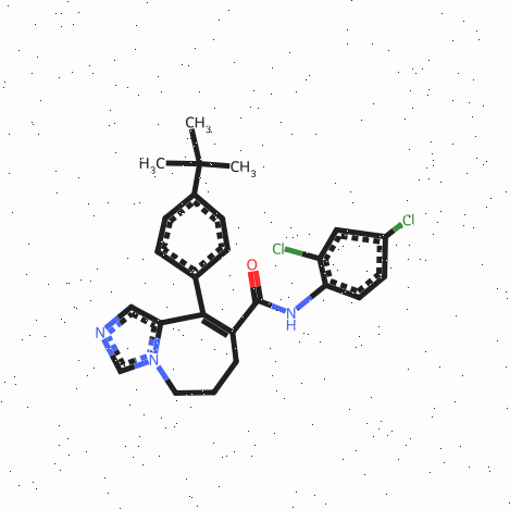 CC(C)(C)c1ccc(C2=C(C(=O)Nc3ccc(Cl)cc3Cl)CCCn3cncc32)cc1